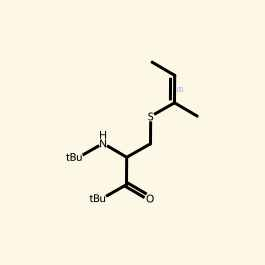 C/C=C(/C)SCC(NC(C)(C)C)C(=O)C(C)(C)C